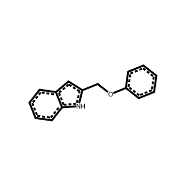 c1ccc(OCc2cc3ccccc3[nH]2)cc1